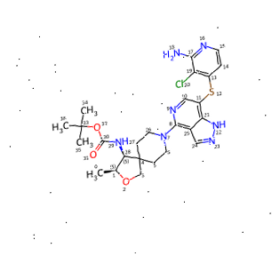 C[C@@H]1OCC2(CCN(c3ncc(Sc4ccnc(N)c4Cl)c4[nH]ncc34)CC2)[C@@H]1NC(=O)OC(C)(C)C